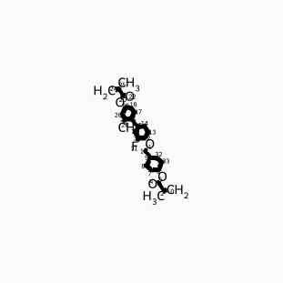 C=C(C)C(=O)Oc1ccc(COc2ccc(-c3ccc(OC(=O)C(=C)C)cc3C)cc2F)cc1